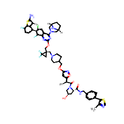 Cc1ncsc1-c1ccc(CNC(=O)[C@@H]2C[C@@H](O)CN2C(=O)C(c2cc(OCC3CCN(C[C@@]4(COc5nc(N6C[C@H]7CC[C@@H](C6)N7)c6cc(Cl)c(-c7ccc(F)c8sc(N)c(C#N)c78)c(F)c6n5)CC4(F)F)CC3)no2)C(C)C)cc1